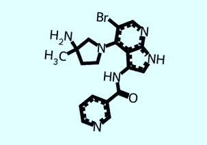 CC1(N)CCN(c2c(Br)cnc3[nH]cc(NC(=O)c4cccnc4)c23)C1